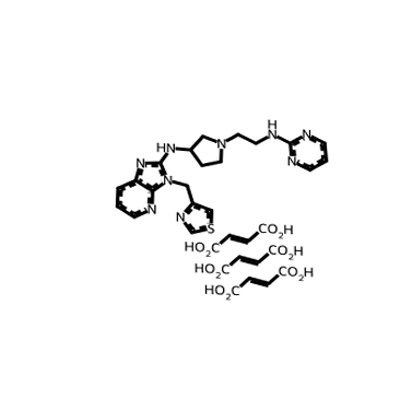 O=C(O)C=CC(=O)O.O=C(O)C=CC(=O)O.O=C(O)C=CC(=O)O.c1cnc(NCCN2CCC(Nc3nc4cccnc4n3Cc3cscn3)C2)nc1